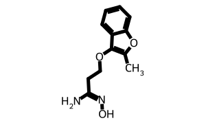 Cc1oc2ccccc2c1OCCC(N)=NO